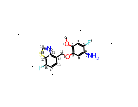 COc1cc(F)c(N)cc1OCc1ccc(F)c2scnc12